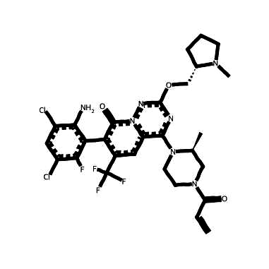 C=CC(=O)N1CCN(c2nc(OC[C@@H]3CCCN3C)nn3c(=O)c(-c4c(N)c(Cl)cc(Cl)c4F)c(C(F)(F)F)cc23)[C@@H](C)C1